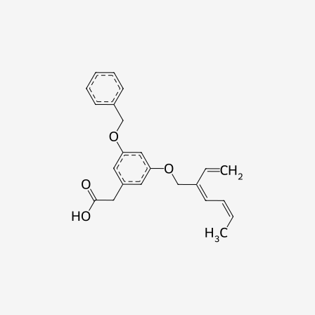 C=C/C(=C\C=C/C)COc1cc(CC(=O)O)cc(OCc2ccccc2)c1